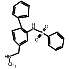 CNCc1ccc(-c2ccccc2)c(NS(=O)(=O)c2ccccc2)c1